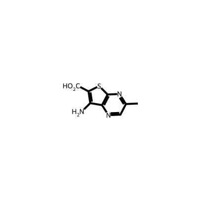 Cc1cnc2c(N)c(C(=O)O)sc2n1